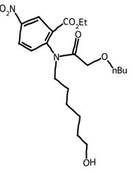 CCCCOCC(=O)N(CCCCCCO)c1ccc([N+](=O)[O-])cc1C(=O)OCC